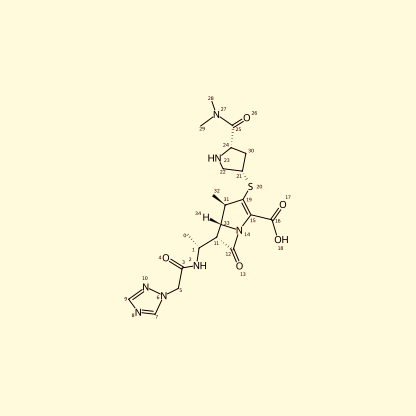 C[C@@H](NC(=O)Cn1cncn1)[C@H]1C(=O)N2C(C(=O)O)=C(S[C@@H]3CN[C@H](C(=O)N(C)C)C3)[C@H](C)[C@@H]12